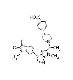 C[C@@H](c1cc2c(-c3ccc4[nH]c(=O)n(C)c4c3)ccnc2n1C)N1CCC(c2ccc(C(=O)O)cc2)CC1